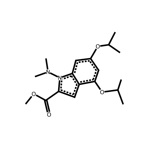 COC(=O)c1cc2c(OC(C)C)cc(OC(C)C)cc2n1N(C)C